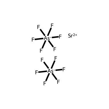 F[As-](F)(F)(F)(F)F.F[As-](F)(F)(F)(F)F.[Sr+2]